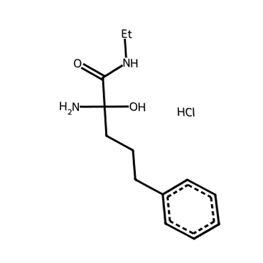 CCNC(=O)C(N)(O)CCCc1ccccc1.Cl